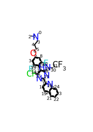 CN(C)CCCOc1cc(F)c(-c2c(Cl)nc(-c3ccc4ccccc4n3)nc2NCC(F)(F)F)c(F)c1